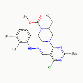 CSc1nc(Cl)c(/C=N/Nc2cccc(C(C)C)c2C(F)(F)F)c(N2CCN(C(=O)OC(C)(C)C)C(CC#N)C2)n1